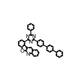 c1ccc(-c2ccc(-c3ccc(-c4nc(-c5ccccc5)nc(-c5cccc6oc7nc8ccccc8cc7c56)n4)cc3)cc2)cc1